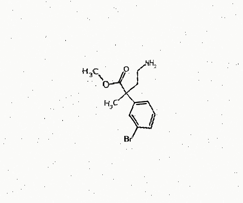 COC(=O)C(C)(CCN)c1cccc(Br)c1